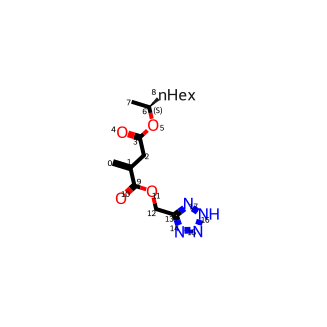 C=C(CC(=O)O[C@@H](C)CCCCCC)C(=O)OCc1nn[nH]n1